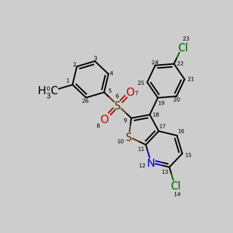 Cc1cccc(S(=O)(=O)c2sc3nc(Cl)ccc3c2-c2ccc(Cl)cc2)c1